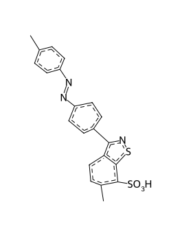 Cc1ccc(N=Nc2ccc(-c3nsc4c(S(=O)(=O)O)c(C)ccc34)cc2)cc1